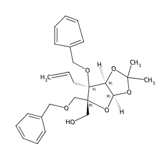 C=CC[C@]1(OCc2ccccc2)[C@H]2OC(C)(C)O[C@H]2O[C@]1(CO)COCc1ccccc1